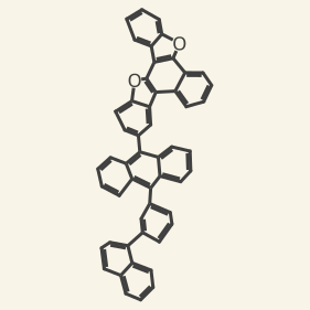 c1cc(-c2cccc3ccccc23)cc(-c2c3ccccc3c(-c3ccc4oc5c(c4c3)c3ccccc3c3oc4ccccc4c35)c3ccccc23)c1